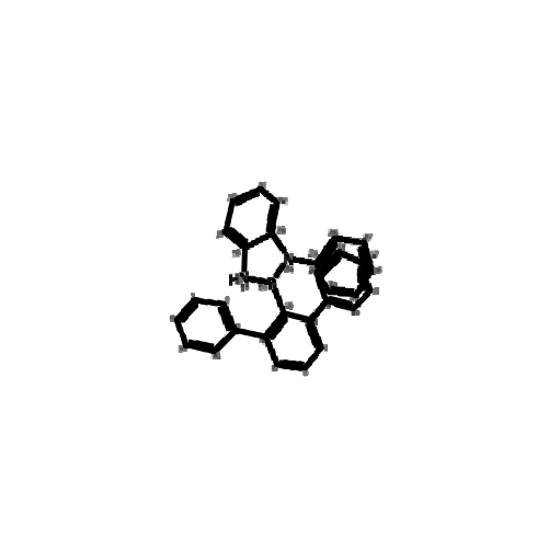 c1ccc(-c2cccc(-c3ccccc3)c2B2Nc3ccccc3N2c2ccccc2)cc1